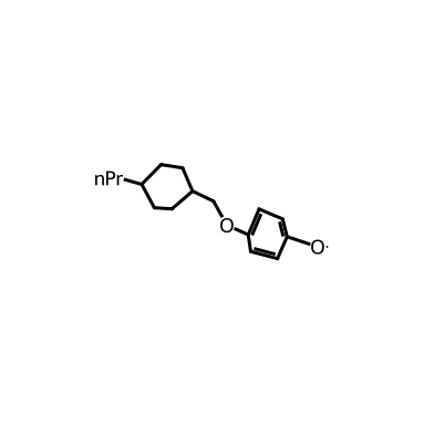 CCCC1CCC(COc2ccc([O])cc2)CC1